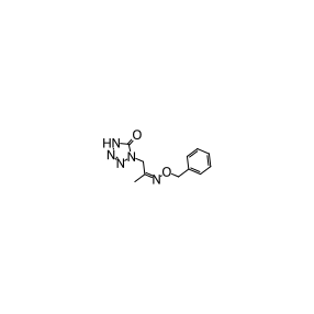 CC(Cn1nn[nH]c1=O)=NOCc1ccccc1